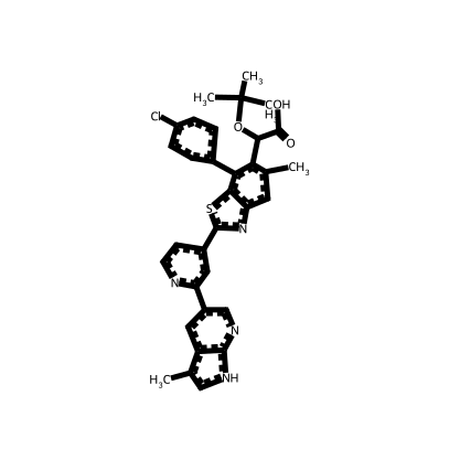 Cc1cc2nc(-c3ccnc(-c4cnc5[nH]cc(C)c5c4)c3)sc2c(-c2ccc(Cl)cc2)c1C(OC(C)(C)C)C(=O)O